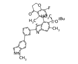 Cc1cc2nc(-c3cccc(-c4ccc5c(cnn5C)c4)c3)sc2c(-c2cc(F)c3c(c2C)C(=O)CCO3)c1[C@H](OC(C)(C)C)C(=O)O